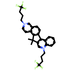 CC1(C)c2c[n+](CCCC(F)(F)F)c3ccccc3c2-c2ccc3c[n+](CCCC(F)(F)F)ccc3c21